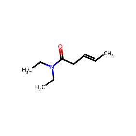 CC=CCC(=O)N(CC)CC